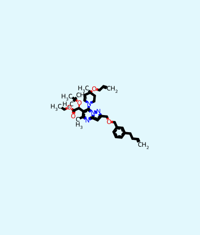 C=CCCc1cccc(COCc2cc3nc(C)c([C@H](OC(C)(C)C)C(=O)OCC)c(N4CCC(C)(OCC=C)CC4)n3n2)c1